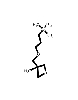 CC1(COCCC[Si](C)(C)C)COC1